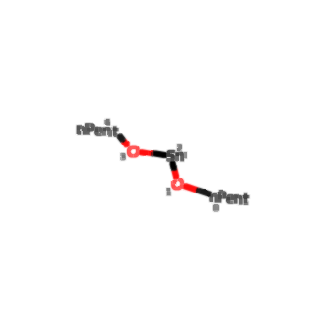 CCCCC[O][Sn][O]CCCCC